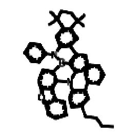 CCCCc1ccc(N2c3cccc4c3B(c3ccc5oc6ccccc6c5c32)N(c2ccccc2)c2cc3c(cc2-4)C(C)(C)CCC3(C)C)c(-c2ccccc2)c1